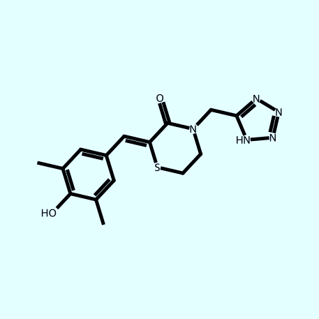 Cc1cc(C=C2SCCN(Cc3nnn[nH]3)C2=O)cc(C)c1O